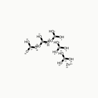 OB(O)O.OB(O)O.OB(O)O.OB(O)O.[O-]B([O-])O.[Zn+2]